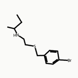 CCC(C)NCCSCc1ccc(Br)cc1